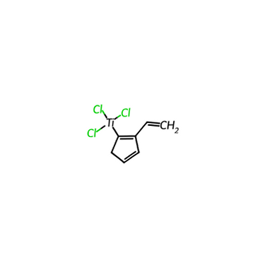 C=CC1=[C]([Ti]([Cl])([Cl])[Cl])CC=C1